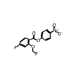 O=C(Oc1ccc([N+](=O)[O-])cc1)c1ccc(F)cc1OCF